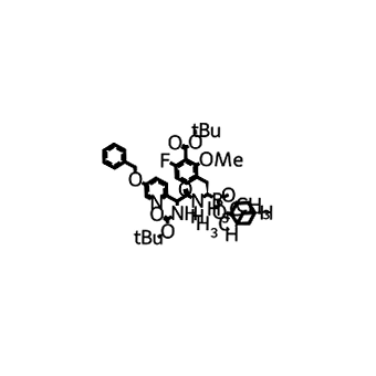 COc1c(C[C@H](NC(=O)C(NC(=O)OC(C)(C)C)c2ccc(OCc3ccccc3)cn2)B2OC3C[C@@H]4C[C@@H](C4(C)C)[C@]3(C)O2)ccc(F)c1C(=O)OC(C)(C)C